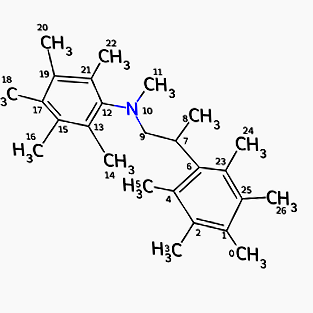 Cc1c(C)c(C)c(C(C)CN(C)c2c(C)c(C)c(C)c(C)c2C)c(C)c1C